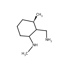 CNC1CCC[C@@H](C)C1CN